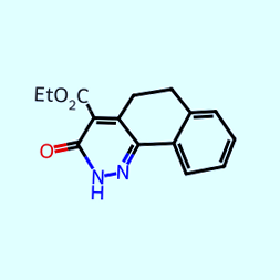 CCOC(=O)c1c2c(n[nH]c1=O)-c1ccccc1CC2